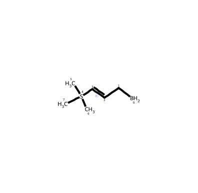 BC/C=C/S(C)(C)C